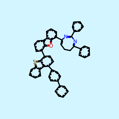 C1=C(c2cccc3c2oc2c(-c4ccc(-c5ccc(-c6ccccc6)cc5)c5c4sc4ccccc45)cccc23)/N=C(c2ccccc2)\N=C(\c2ccccc2)CC\1